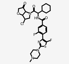 CN1CCN(c2nc(-c3ccc(C(=O)NC(C(=O)N4CC(Cl)C5OCC(=O)C54)C4CCCCC4)cc3F)c(F)s2)CC1